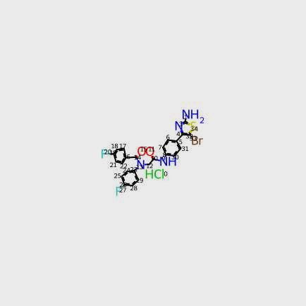 Cl.Nc1nc(-c2ccc(NC(=O)CN(C(=O)c3ccc(F)cc3)c3ccc(F)cc3)cc2)c(Br)s1